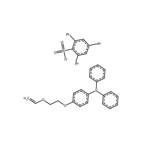 C=COCCOc1ccc([S+](c2ccccc2)c2ccccc2)cc1.CC(C)c1cc(C(C)C)c(S(=O)(=O)[O-])c(C(C)C)c1